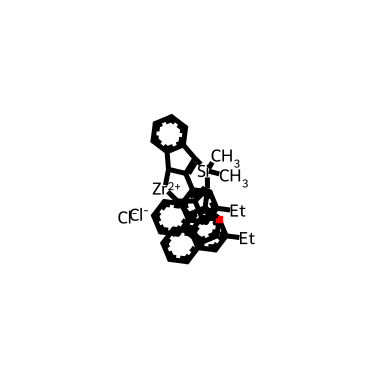 CCc1cc(C2=C3c4ccccc4[CH]2[Zr+2][CH]2C(c4cc(CC)cc5ccccc45)=C(c4ccccc42)[Si]3(C)C)c2ccccc2c1.[Cl-].[Cl-]